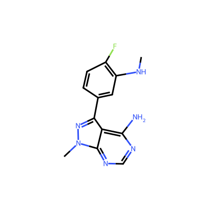 CNc1cc(-c2nn(C)c3ncnc(N)c23)ccc1F